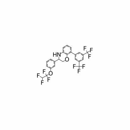 FC(F)C(F)(F)Oc1cccc(C2COc3c(cccc3-c3cc(C(F)(F)F)cc(C(F)(F)F)c3)N2)c1